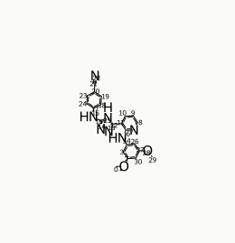 COc1cc(Nc2ncccc2-c2nnc(Nc3ccc(C#N)cc3)[nH]2)cc(OC)c1